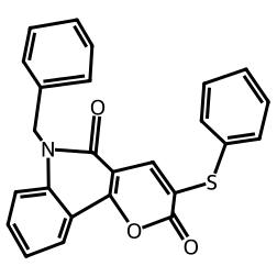 O=c1oc2c(cc1Sc1ccccc1)c(=O)n(Cc1ccccc1)c1ccccc21